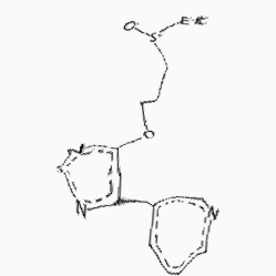 CC[S+]([O-])CCOc1nsnc1-c1cccnc1